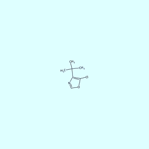 CC(C)(C)c1ncoc1Cl